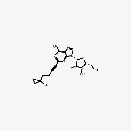 Nc1nc(C#CCCC2(O)CC2)nc2c1ncn2[C@@H]1O[C@H](CO)[C@@H](O)[C@H]1O